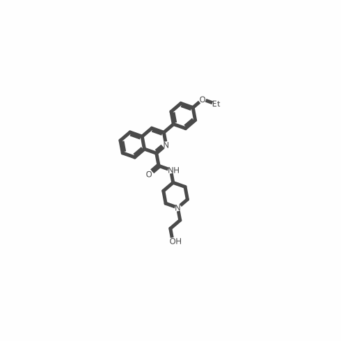 CCOc1ccc(-c2cc3ccccc3c(C(=O)NC3CCN(CCO)CC3)n2)cc1